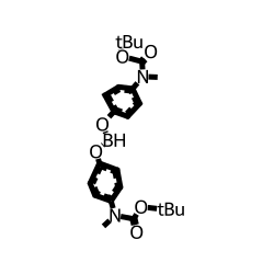 CN(C(=O)OC(C)(C)C)c1ccc(OBOc2ccc(N(C)C(=O)OC(C)(C)C)cc2)cc1